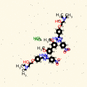 CCN(CC)CC(O)COc1ccc(C2=NN(c3ccc([N+](=O)[O-])cc3)N(c3ccc(-c4ccc(N5NC(c6ccc(OCC(O)CN(CC)CC)cc6)=NN5c5ccc([N+](=O)[O-])cc5)c(OC)c4)cc3OC)N2)cc1.Cl.Cl